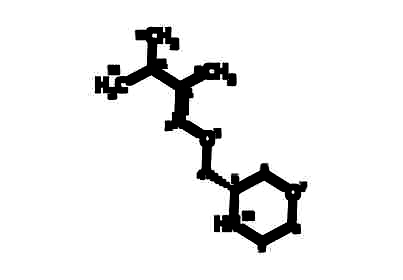 C/C(=N\OC[C@@H]1COCCN1)C(C)C